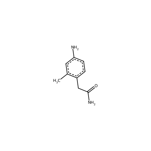 Cc1cc(N)ccc1CC(N)=O